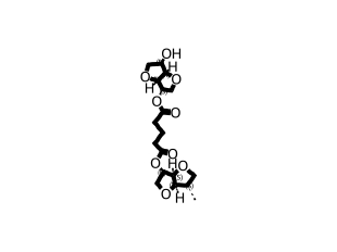 C[C@H]1CO[C@H]2[C@@H]1OC[C@H]2OC(=O)CCCC(=O)O[C@H]1CO[C@H]2[C@@H]1OC[C@H]2O